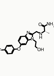 C[C@H](NCc1nc2ccc(Oc3ccc(F)cc3)cc2n1CCO)C(N)=O